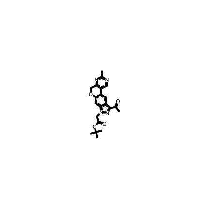 CC(=O)c1nn(CC(=O)OC(C)(C)C)c2cc3c(cc12)-c1cnc(C)nc1CO3